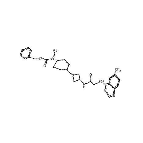 CCN(C(=O)OCc1ccccc1)[C@H]1CC[C@H](N2CC(NC(=O)CNc3ncnc4ccc(C(F)(F)F)cc34)C2)CC1